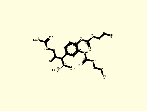 COC(=O)OCC(C)C(c1ccc(OC(=O)OCCC(C)C)c(OC(=O)OCCC(C)C)c1)[C@H](N)C(=O)O